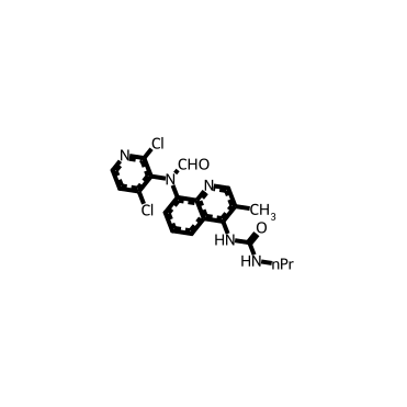 CCCNC(=O)Nc1c(C)cnc2c(N(C=O)c3c(Cl)ccnc3Cl)cccc12